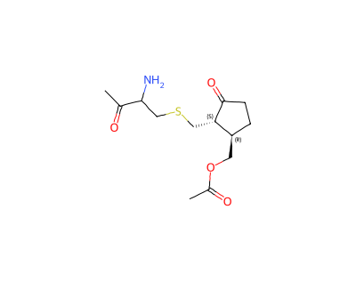 CC(=O)OC[C@@H]1CCC(=O)[C@H]1CSCC(N)C(C)=O